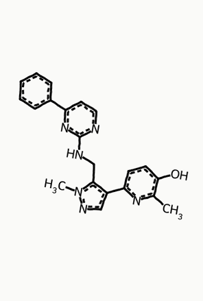 Cc1nc(-c2cnn(C)c2CNc2nccc(-c3ccccc3)n2)ccc1O